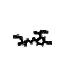 COC(=O)c1cc(C#N)ccc1OCCNC(=O)OC(C)(C)C